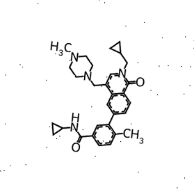 Cc1ccc(C(=O)NC2CC2)cc1-c1ccc2c(=O)n(CC3CC3)cc(CN3CCN(C)CC3)c2c1